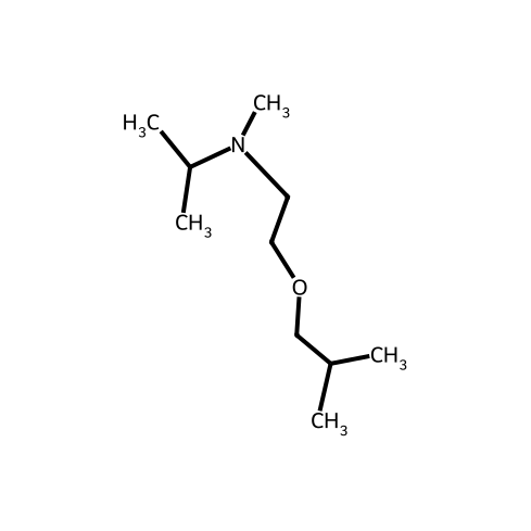 CC(C)COCCN(C)C(C)C